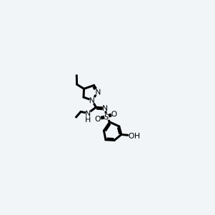 CCN/C(=N\S(=O)(=O)c1cccc(O)c1)N1CC(CC)C=N1